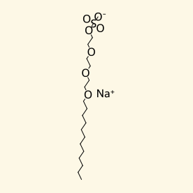 CCCCCCCCCCCCOCCOCCOCCOS(=O)(=O)[O-].[Na+]